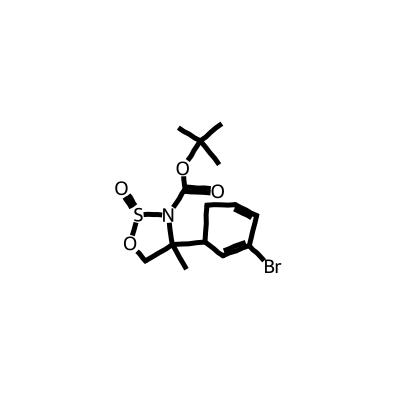 CC(C)(C)OC(=O)N1S(=O)OCC1(C)C1C=C(Br)C=CC1